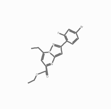 CCOC(=O)c1cc(CC)n2nc(-c3ccc(Br)cc3F)cc2n1